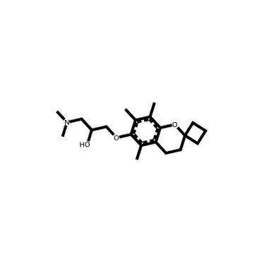 Cc1c(C)c2c(c(C)c1OCC(O)CN(C)C)CCC1(CCC1)O2